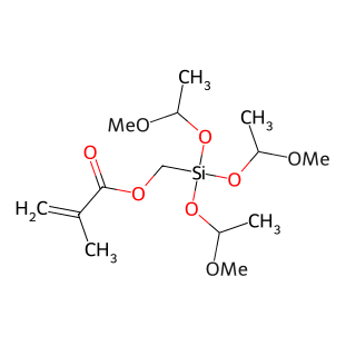 C=C(C)C(=O)OC[Si](OC(C)OC)(OC(C)OC)OC(C)OC